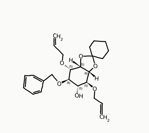 C=CCO[C@@H]1[C@@H]2OC3(CCCCC3)O[C@@H]2[C@@H](OCC=C)[C@H](O)[C@H]1OCc1ccccc1